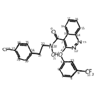 O=C(c1c(Oc2cccc(C(F)(F)F)c2)nnc2ccccc12)N(O)CCc1ccc(Cl)cc1